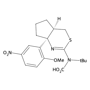 COc1ccc([N+](=O)[O-])cc1[C@]12CCC[C@H]1CSC(N(C(=O)O)C(C)(C)C)=N2